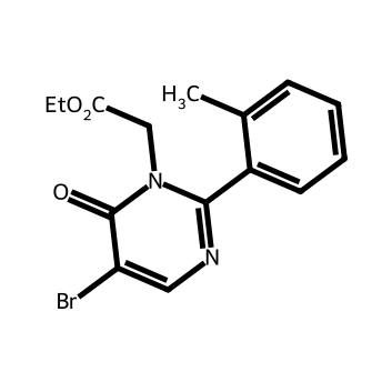 CCOC(=O)Cn1c(-c2ccccc2C)ncc(Br)c1=O